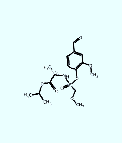 COCP(=O)(N[C@@H](C)C(=O)OC(C)C)Oc1ccc(C=O)cc1OC